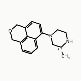 C[C@@H]1CN(c2ccc3c4c(cccc24)COC3)CCN1